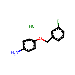 Cl.Nc1ccc(OCc2cccc(F)c2)cc1